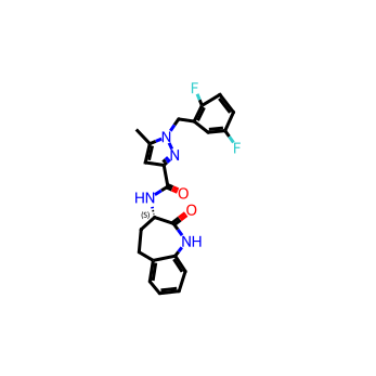 Cc1cc(C(=O)N[C@H]2CCc3ccccc3NC2=O)nn1Cc1cc(F)ccc1F